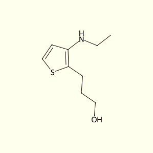 CCNc1ccsc1CCCO